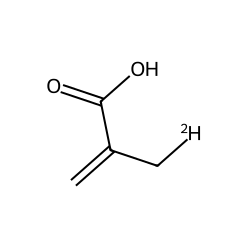 [2H]CC(=C)C(=O)O